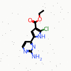 CCOC(=O)c1cc(-c2ccnc(N)n2)[nH]c1Cl